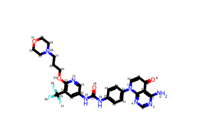 Nc1ncnc2c1c(=O)ccn2-c1ccc(NC(=O)Nc2cnc(OCCCN3CCOCC3)c(C(F)(F)F)c2)cc1